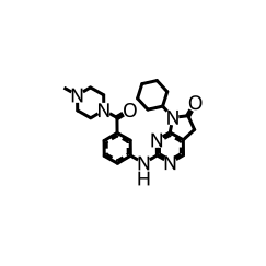 CN1CCN(C(=O)c2cccc(Nc3ncc4c(n3)N(C3CCCCC3)C(=O)C4)c2)CC1